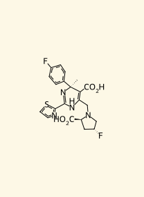 C[C@@]1(c2ccc(F)cc2)N=C(c2nccs2)NC(CN2C[C@H](F)C[C@H]2C(=O)O)=C1C(=O)O